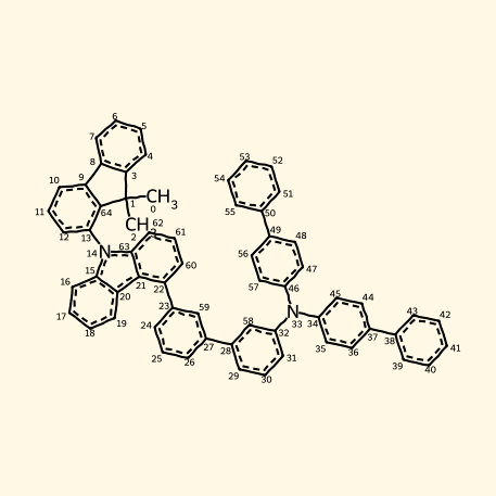 CC1(C)c2ccccc2-c2cccc(-n3c4ccccc4c4c(-c5cccc(-c6cccc(N(c7ccc(-c8ccccc8)cc7)c7ccc(-c8ccccc8)cc7)c6)c5)cccc43)c21